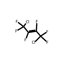 F/C(=C(/F)C(F)(F)Cl)C(F)(F)Cl